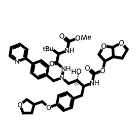 COC(=O)NC(C(=O)NN(Cc1ccc(-c2ccccn2)cc1)C[C@H](O)C(Cc1ccc(OCC2CCOC2)cc1)NC(=O)OC1COC2OCCC12)C(C)(C)C